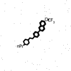 CCCC1CCC(CCc2ccc(-c3ccc4cc(OC(F)(F)F)ccc4c3)cc2)CC1